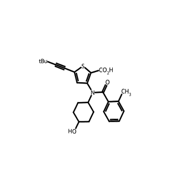 Cc1ccccc1C(=O)N(c1cc(C#CC(C)(C)C)sc1C(=O)O)C1CCC(O)CC1